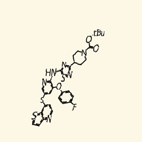 CC(C)(C)OC(=O)N1CCC(c2nsc(Nc3ncc(Sc4ccnc5ccsc45)cc3Oc3ccc(F)cc3)n2)CC1